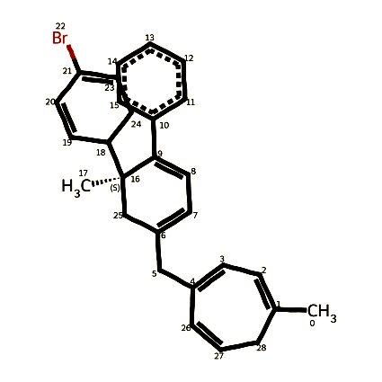 CC1=CC=C(CC2=CC=C(c3ccccc3)[C@](C)(C3C=CC(Br)=CC3)C2)C=CC1